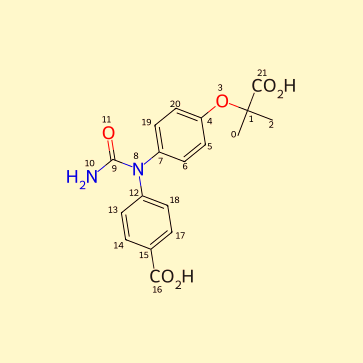 CC(C)(Oc1ccc(N(C(N)=O)c2ccc(C(=O)O)cc2)cc1)C(=O)O